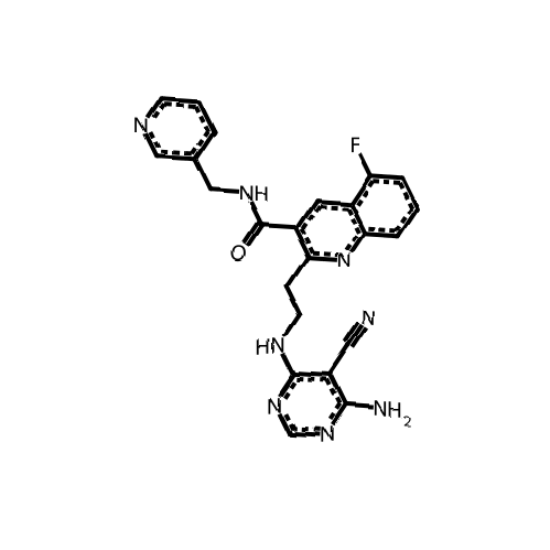 N#Cc1c(N)ncnc1NCCc1nc2cccc(F)c2cc1C(=O)NCc1cccnc1